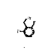 CC(C)Cc1c(F)cccc1F